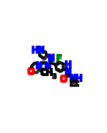 CCNC(=O)Nc1ccc(-c2nc3c(c(N4CCOC[C@@H]4C)n2)CNC3)c(F)c1